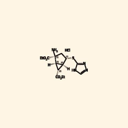 CCOC(=O)[C@H]1[C@H]2[C@@H]1[C@](N)(C(=O)OCC)C[C@@H]2Sc1nnc[nH]1.Cl